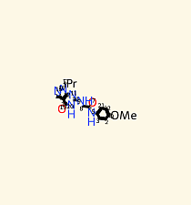 COc1ccc(NC(=O)CNc2nc3c(cnn3C(C)C)c(=O)[nH]2)cc1